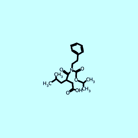 CC(C)CC(CC(=O)O)C(=O)N(CCc1ccccc1)C(=O)OC(C)C